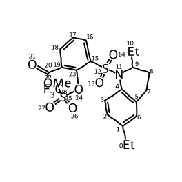 CCc1ccc2c(c1)CCC(CC)N2S(=O)(=O)c1cccc(C(=O)OC)c1OS(=O)(=O)C(F)(F)F